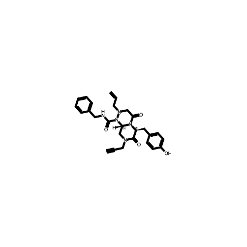 C#CCN1C[C@H]2N(C(=O)CN(CC=C)N2C(=O)NCc2ccccc2)[C@@H](Cc2ccc(O)cc2)C1=O